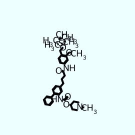 COc1cc(NC(=O)CCCc2ccc(-c3ccccc3)c(NC(=O)OC3CCN(C)CC3)c2)ccc1CO[Si](C)(C)C(C)(C)C